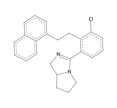 Clc1cccc(C2=NCC3CCCN23)c1CCc1cccc2ccccc12